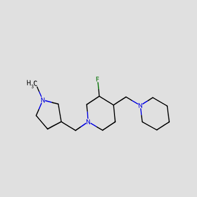 CN1CCC(CN2CCC(CN3CCCCC3)C(F)C2)C1